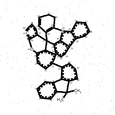 CC1(C)c2ccccc2-c2c(-c3ccc4c(c3)C3(C5=C(CCC=C5)n5c6ccccc6c6cccc3c65)c3ccccc3O4)cccc21